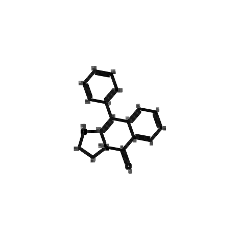 O=c1c2ccccc2c(-c2ccccc2)c2n1CCO2